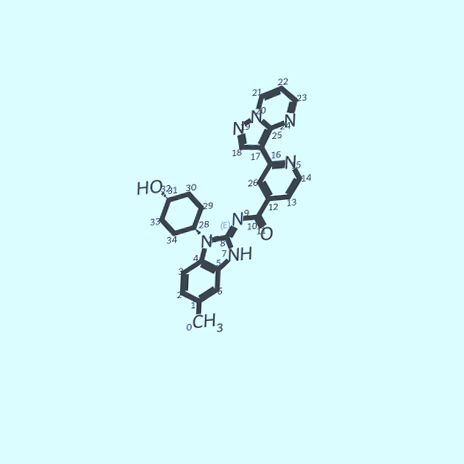 Cc1ccc2c(c1)[nH]/c(=N\C(=O)c1ccnc(-c3cnn4cccnc34)c1)n2[C@H]1CC[C@@H](O)CC1